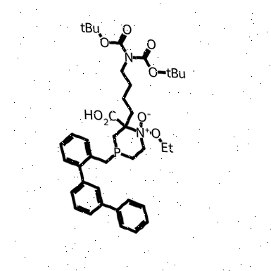 CCO[N+]1([O-])CCP(Cc2ccccc2-c2cccc(-c3ccccc3)c2)CC1(CCCCN(C(=O)OC(C)(C)C)C(=O)OC(C)(C)C)C(=O)O